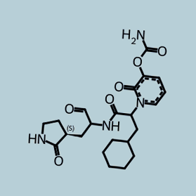 NC(=O)Oc1cccn(C(CC2CCCCC2)C(=O)NC(C=O)C[C@@H]2CCNC2=O)c1=O